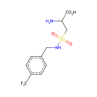 NC(CS(=O)(=O)NCc1ccc(C(F)(F)F)cc1)C(=O)O